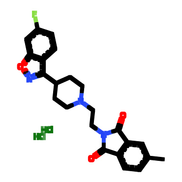 Cc1ccc2c(c1)C(=O)N(CCN1CCC(c3noc4cc(F)ccc34)CC1)C2=O.Cl.Cl